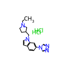 CCN1CCC(Cn2ccc3ccc(-n4cnnc4)cc32)C1.Cl.Cl